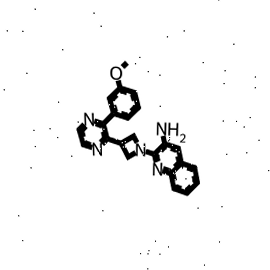 COc1cccc(-c2nccnc2C2CN(c3nc4ccccc4cc3N)C2)c1